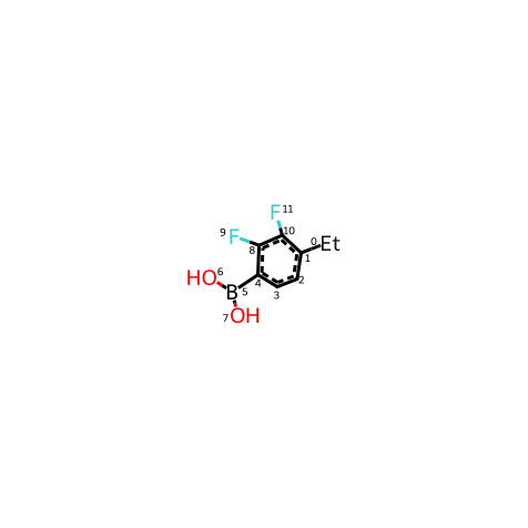 CCc1ccc(B(O)O)c(F)c1F